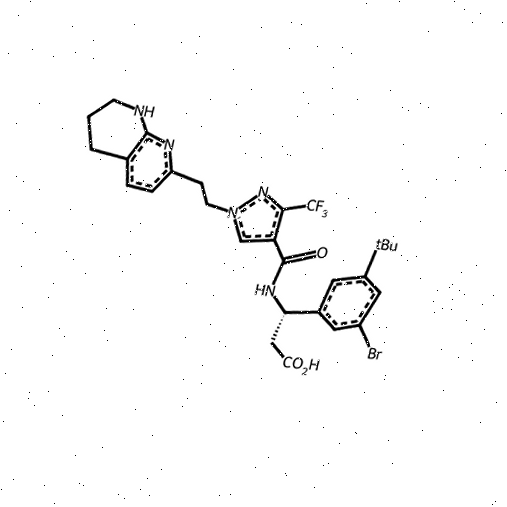 CC(C)(C)c1cc(Br)cc([C@H](CC(=O)O)NC(=O)c2cn(CCc3ccc4c(n3)NCCC4)nc2C(F)(F)F)c1